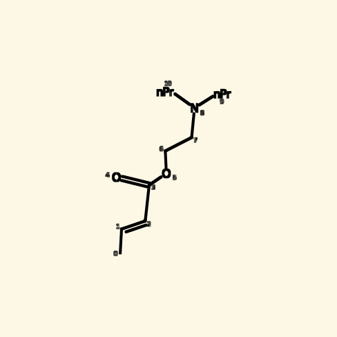 CC=CC(=O)OCCN(CCC)CCC